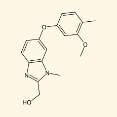 COc1cc(Oc2ccc3nc(CO)n(C)c3c2)ccc1C